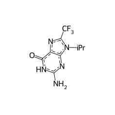 CC(C)n1c(C(F)(F)F)nc2c(=O)[nH]c(N)nc21